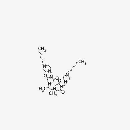 CCCCCCN1CCN(CN2C(=O)CN(C(C)C(C)N3CC(=O)N(CN4CCN(CCCCCC)CC4)C(=O)C3)CC2=O)CC1